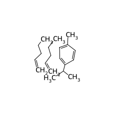 C=CCCC.C=CCCC.Cc1ccc(C(C)C)cc1